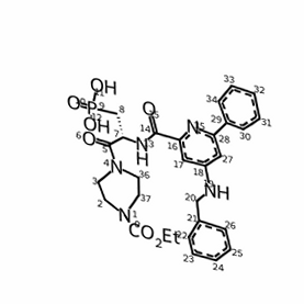 CCOC(=O)N1CCN(C(=O)[C@H](CP(=O)(O)O)NC(=O)c2cc(NCc3ccccc3)cc(-c3ccccc3)n2)CC1